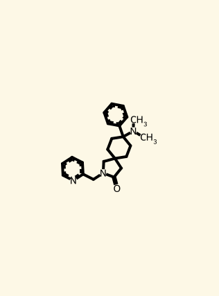 CN(C)C1(c2ccccc2)CCC2(CC1)CC(=O)N(Cc1ccccn1)C2